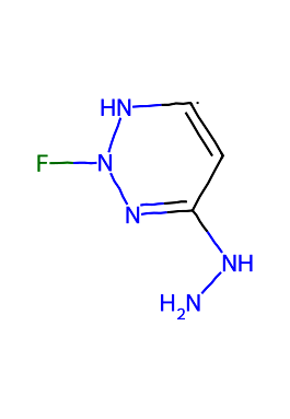 NNC1=NN(F)N[C]=C1